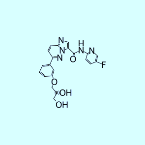 O=C(Nc1ccc(F)cn1)c1cnc2ccc(-c3cccc(OC[C@H](O)CO)c3)nn12